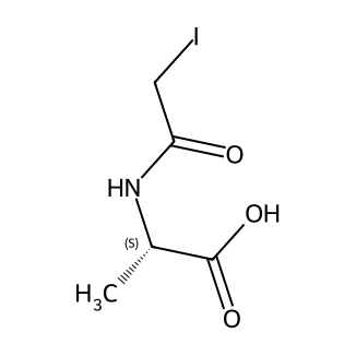 C[C@H](NC(=O)CI)C(=O)O